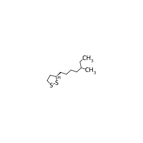 CCC(C)CCCC[C@@H]1CCSS1